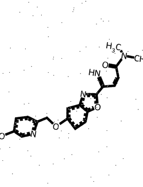 CN(C)C(=O)/C=C\C(=N)c1nc2cc(OCc3ccc(O)cn3)ccc2o1